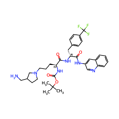 CC(C)(C)OC(=O)N[C@@H](CCCN1CCC(CN)C1)C(=O)N[C@H](Cc1ccc(C(F)(F)F)cc1)C(=O)Nc1cnc2ccccc2c1